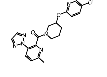 Cc1ccc(-n2nccn2)c(C(=O)N2CCCC(Oc3ccc(Cl)cn3)C2)n1